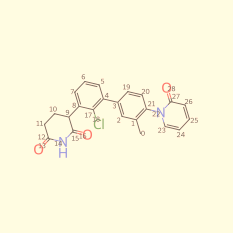 Cc1cc(-c2cccc(C3CCC(=O)NC3=O)c2Cl)ccc1-n1ccccc1=O